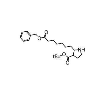 CC(C)(C)OC(=O)C1CCNC1CCCCCCC(=O)OCc1ccccc1